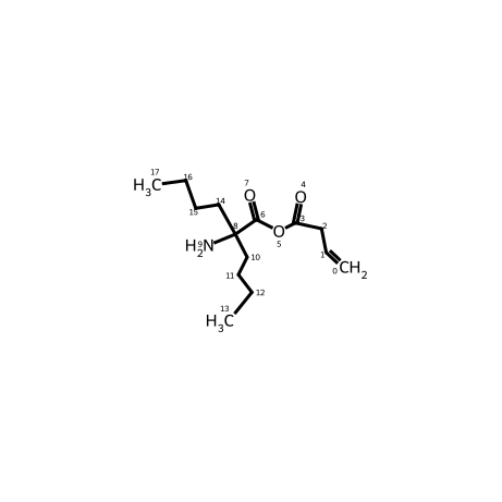 C=CCC(=O)OC(=O)C(N)(CCCC)CCCC